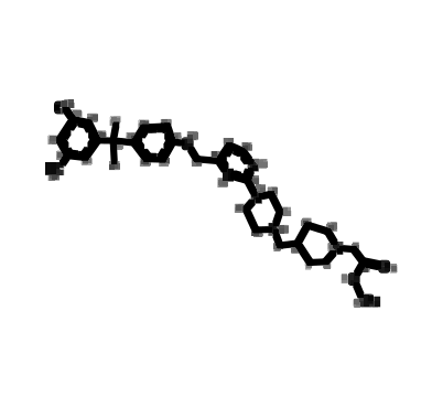 CC(C)(C)OC(=O)CN1CCC(CN2CCN(c3nccc(COc4ccc(C(C)(C)c5cc(Cl)cc(C#N)c5)cc4)n3)CC2)CC1